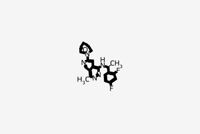 Cc1nnc(N[C@H](C)c2ccc(F)cc2F)c2cc(N3CC4CC(C3)O4)ncc12